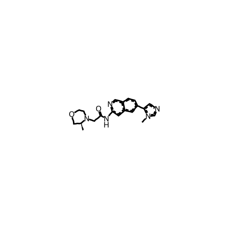 C[C@H]1COCCN1CC(=O)Nc1cc2cc(-c3cncn3C)ccc2cn1